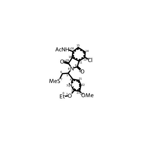 CCOc1nc(C(CSC)N2C(=O)c3c(Cl)ccc(NC(C)=O)c3C2=O)ccc1OC